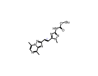 Cc1ncc(C)n2nc(/C=C/c3nc(NC(=O)OC(C)(C)C)nn3C)nc12